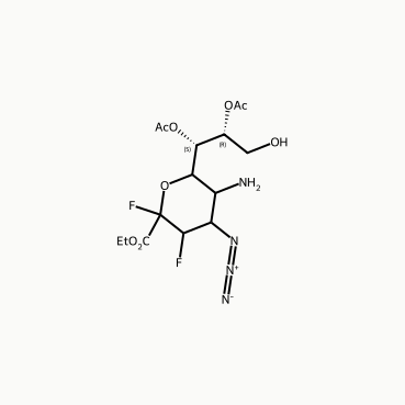 CCOC(=O)C1(F)OC([C@H](OC(C)=O)[C@@H](CO)OC(C)=O)C(N)C(N=[N+]=[N-])C1F